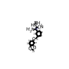 N#C/C(NN)=C(/N)c1cccc(COc2ccc3c(c2)OCO3)c1